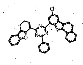 Clc1cc(-c2nc(C3=CCCc4c3oc3ccccc43)nc(-c3ccccc3)n2)c2sc3c4ccccc4ccc3c2c1